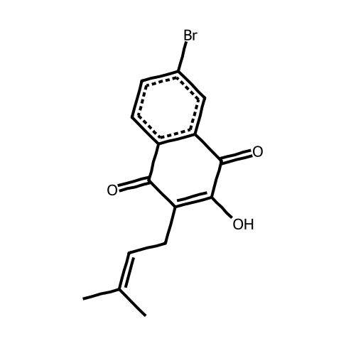 CC(C)=CCC1=C(O)C(=O)c2cc(Br)ccc2C1=O